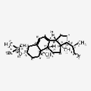 C[C@@H](CBr)[C@H]1CC[C@H]2C3=CC=C4C[C@@H](O[Si](C)(C)C(C)(C)C)CC[C@]4(C)[C@H]3CC[C@]12C